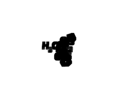 C=C(C)Cn1c(SCC(=O)c2cccs2)cc2sc3c(c2c1=O)CCCC3